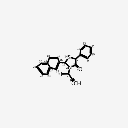 C#CC(I)N1C(=O)C(c2ccccc2)SC1c1ccc2ccccc2c1